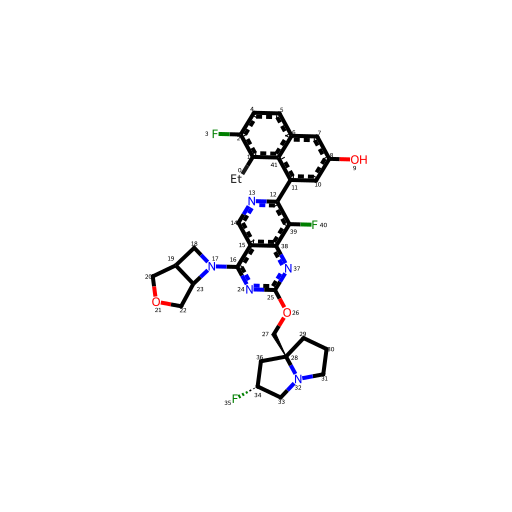 CCc1c(F)ccc2cc(O)cc(-c3ncc4c(N5CC6COCC65)nc(OC[C@@]56CCCN5C[C@H](F)C6)nc4c3F)c12